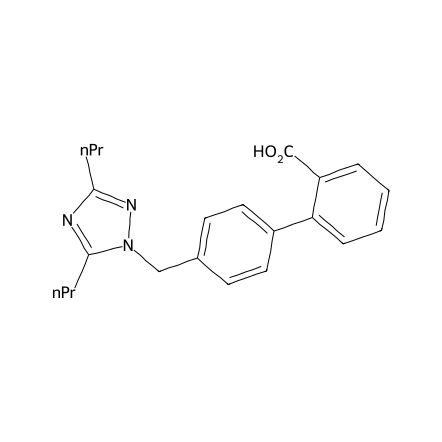 CCCc1nc(CCC)n(Cc2ccc(-c3ccccc3C(=O)O)cc2)n1